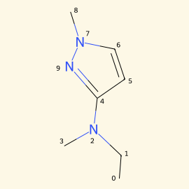 CCN(C)c1ccn(C)n1